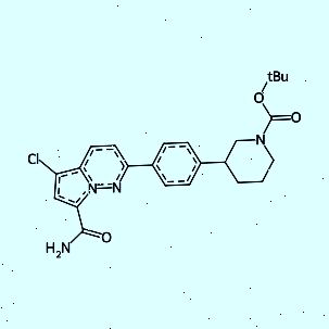 CC(C)(C)OC(=O)N1CCCC(c2ccc(-c3ccc4c(Cl)cc(C(N)=O)n4n3)cc2)C1